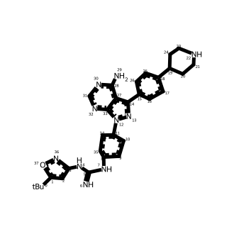 CC(C)(C)c1cc(NC(=N)Nc2ccc(-n3nc(-c4ccc(C5CCNCC5)cc4)c4c(N)ncnc43)cc2)no1